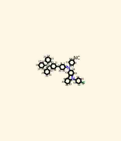 [C-]#[N+]c1ccc(N(c2ccc(-c3ccc([Si](c4ccccc4)(c4ccccc4)c4ccccc4)cc3)cc2)c2ccc3c(c2)c2ccccc2n3-c2ccc(F)cc2)cc1